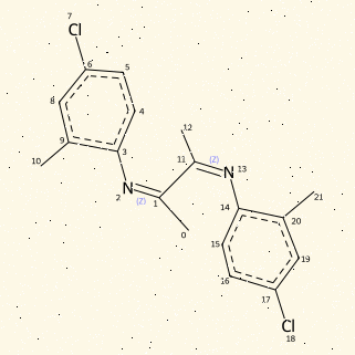 CC(=N/c1ccc(Cl)cc1C)/C(C)=N\c1ccc(Cl)cc1C